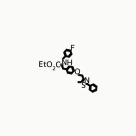 CCOC(=O)[C@H](Cc1ccc(OCCc2nc(-c3ccccc3)sc2C)cc1)NCc1ccc(F)cc1